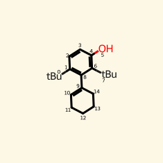 CC(C)(C)c1ccc(O)c(C(C)(C)C)c1C1=CCCCC1